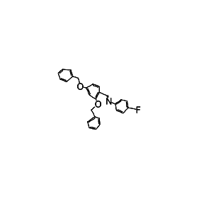 Fc1ccc(N=Cc2ccc(OCc3ccccc3)cc2OCc2ccccc2)cc1